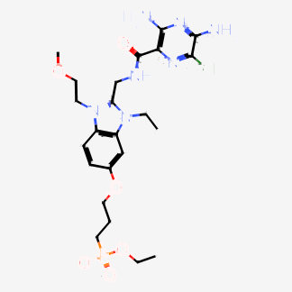 CCOP(=O)([O-])CCCOc1ccc2c(c1)n(CC)c(CNC(=O)c1nc(Cl)c(N)nc1N)[n+]2CCOC